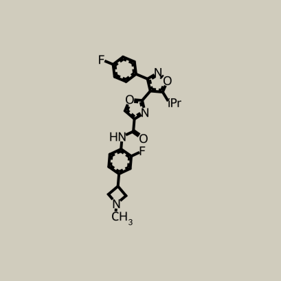 CC(C)c1onc(-c2ccc(F)cc2)c1-c1nc(C(=O)Nc2ccc(C3CN(C)C3)cc2F)co1